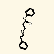 O=C(CCOCCc1ccccc1)Oc1ccccc1